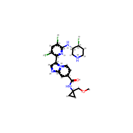 COCC1(NC(=O)c2ccn3c(-c4nc(N[C@H]5CNCC[C@@H]5F)c(F)cc4F)cnc3c2)CC1